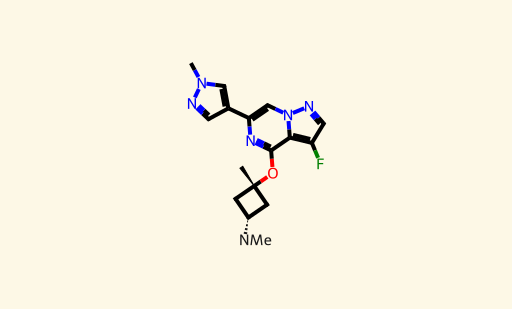 CN[C@H]1C[C@@](C)(Oc2nc(-c3cnn(C)c3)cn3ncc(F)c23)C1